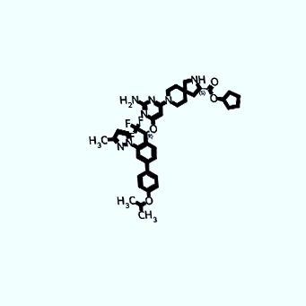 Cc1ccn(-c2cc(-c3ccc(OC(C)C)cc3)ccc2[C@@H](Oc2cc(N3CCC4(CC3)CN[C@H](C(=O)OC3CCCC3)C4)nc(N)n2)C(F)(F)F)n1